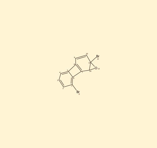 Brc1cccc2c1C1=C2C=CC2(Br)OC12